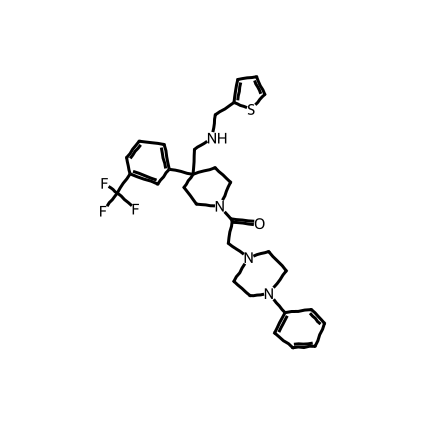 O=C(CN1CCN(c2ccccc2)CC1)N1CCC(CNCc2cccs2)(c2cccc(C(F)(F)F)c2)CC1